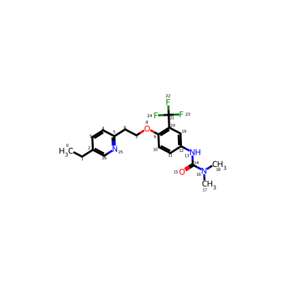 CCc1ccc(CCOc2ccc(NC(=O)N(C)C)cc2C(F)(F)F)nc1